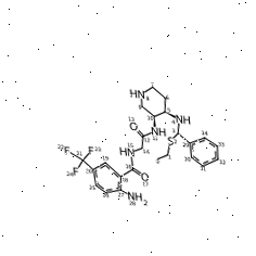 CCSC(N[C@@H]1CCNC[C@@H]1NC(=O)CNC(=O)c1cc(C(F)(F)F)ccc1N)c1ccccc1